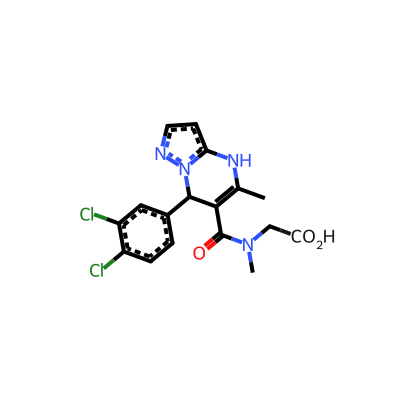 CC1=C(C(=O)N(C)CC(=O)O)C(c2ccc(Cl)c(Cl)c2)n2nccc2N1